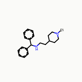 CCN1CCC(CCNC(c2ccccc2)c2ccccc2)CC1